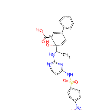 CC(Nc1nccc(NS(=O)(=O)c2ccc([N+](=O)[O-])cc2)n1)C1(O)C=CC(c2ccccc2)=C[C@@H]1C(=O)O